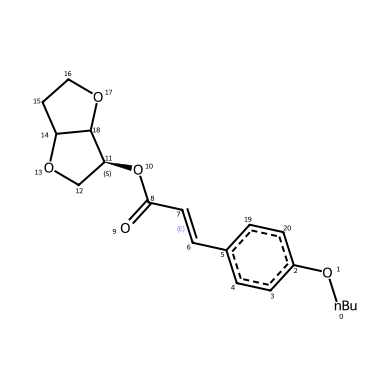 CCCCOc1ccc(/C=C/C(=O)O[C@H]2COC3CCOC32)cc1